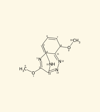 COC1=NC2=C3C=CC(OC)C2=NN=C1N3